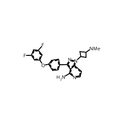 CNC1CC(n2nc(-c3ccc(Oc4cc(F)cc(F)c4)cc3)c3c(N)nccc32)C1